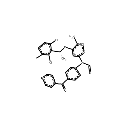 C[C@@H](Oc1cc(N(C=O)c2ccc(C(=O)c3ccncc3)cc2)nnc1N)c1c(Cl)ccc(F)c1Cl